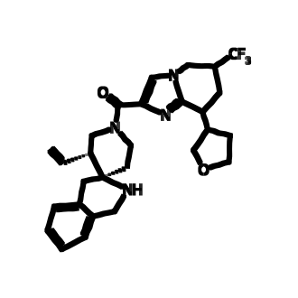 C=C[C@@H]1CN(C(=O)c2cn3c(n2)C(C2CCOC2)CC(C(F)(F)F)C3)CC[C@]12Cc1ccccc1CN2